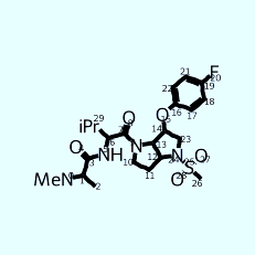 CNC(C)C(=O)NC(C(=O)N1CCC2C1C(Oc1ccc(F)cc1)CN2S(C)(=O)=O)C(C)C